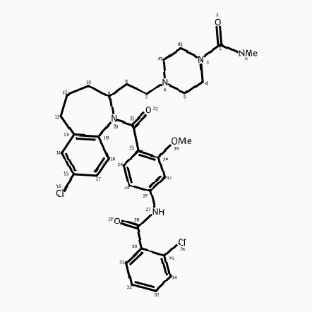 CNC(=O)N1CCN(CCC2CCCc3cc(Cl)ccc3N2C(=O)c2ccc(NC(=O)c3ccccc3Cl)cc2OC)CC1